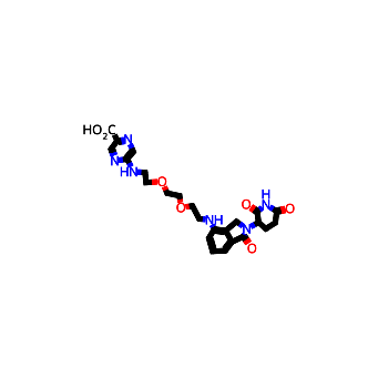 O=C1CCC(N2Cc3c(NCCOCCOCCNc4cnc(C(=O)O)cn4)cccc3C2=O)C(=O)N1